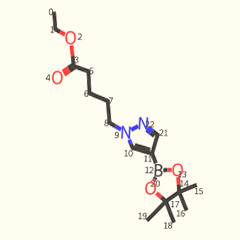 CCOC(=O)CCCCn1cc(B2OC(C)(C)C(C)(C)O2)cn1